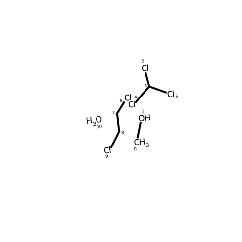 CO.ClC(Cl)Cl.ClCCCl.O